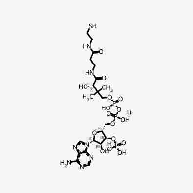 CC(C)(COP(=O)(O)OP(=O)(O)OC[C@H]1O[C@@H](n2cnc3c(N)ncnc32)[C@H](O)[C@@H]1OP(=O)(O)O)[C@@H](O)C(=O)NCCC(=O)NCCS.[Li]